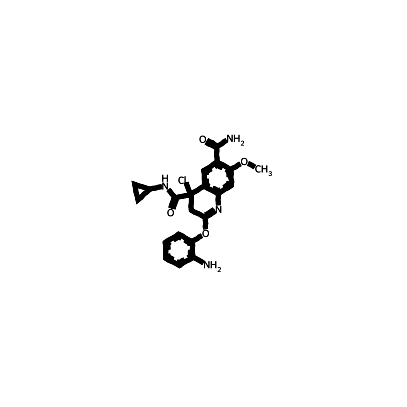 COc1cc2c(cc1C(N)=O)C(Cl)(C(=O)NC1CC1)CC(Oc1ccccc1N)=N2